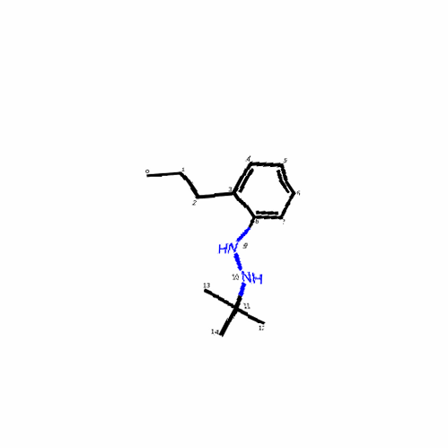 CCCc1ccccc1NNC(C)(C)C